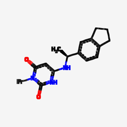 CC(C)n1c(=O)cc(N[C@@H](C)c2ccc3c(c2)CCC3)[nH]c1=O